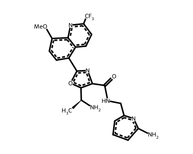 COc1ccc(-c2nc(C(=O)NCc3cccc(N)n3)c([C@H](C)N)o2)c2ccc(C(F)(F)F)nc12